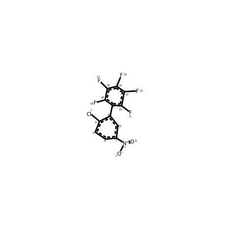 O=[N+]([O-])c1ccc(Cl)c(-c2c(F)c(F)c(F)c(F)c2F)c1